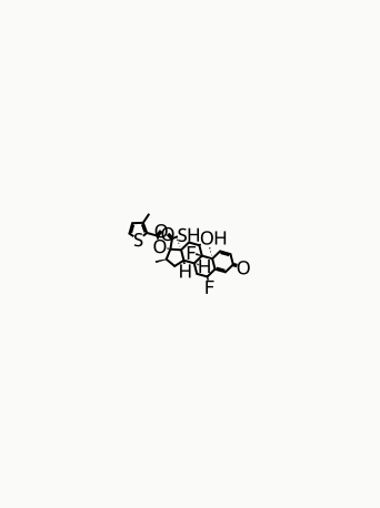 Cc1ccsc1C(=O)O[C@@]1(C(=O)S)[C@H](C)C[C@H]2[C@@H]3C[C@H](F)C4=CC(=O)C=C[C@]4(C)[C@@]3(F)[C@@H](O)C[C@@]21C